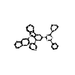 c1ccc(-c2nc(-c3ccccc3)nc(-c3cc(-c4cccnc4)c4c(c3)c3ccccc3n4-c3ccc4ccccc4c3)n2)cc1